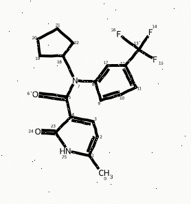 Cc1ccc(C(=O)N(c2cccc(C(F)(F)F)c2)C2CCCC2)c(=O)[nH]1